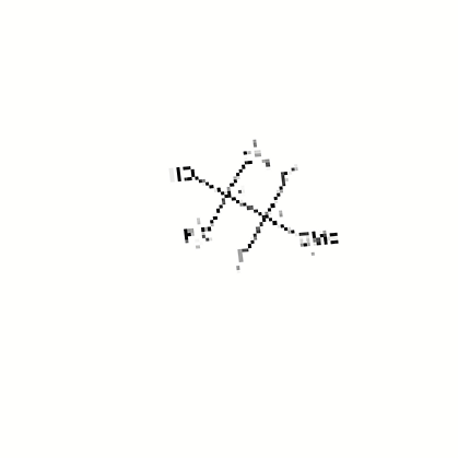 COC(F)(F)C(O)(C(F)(F)F)C(F)(F)F